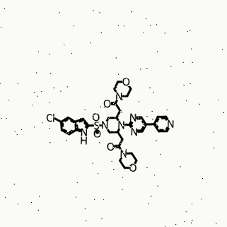 O=C(CC1CN(S(=O)(=O)c2cc3cc(Cl)ccc3[nH]2)CC(CC(=O)N2CCOCC2)N1c1ncc(-c2ccncc2)cn1)N1CCOCC1